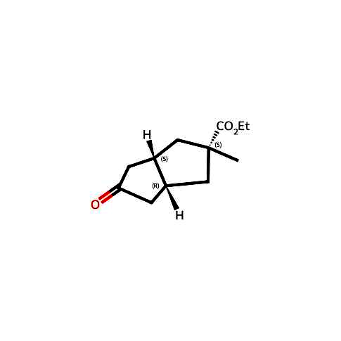 CCOC(=O)[C@@]1(C)C[C@H]2CC(=O)C[C@H]2C1